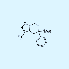 CNC1(c2ccccc2)CCc2onc(C(F)(F)F)c2C1